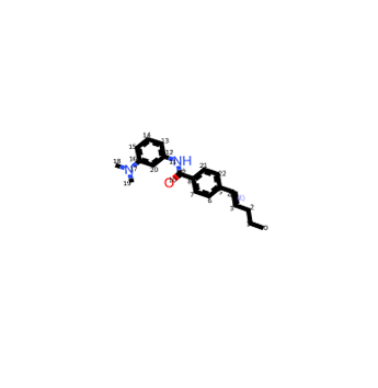 CCC/C=C/c1ccc(C(=O)Nc2cccc(N(C)C)c2)cc1